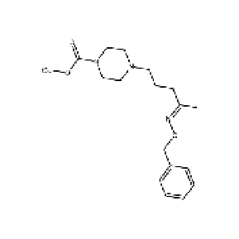 CC(CCCN1CCN(C(=O)OC(C)(C)C)CC1)=NOCc1ccccc1